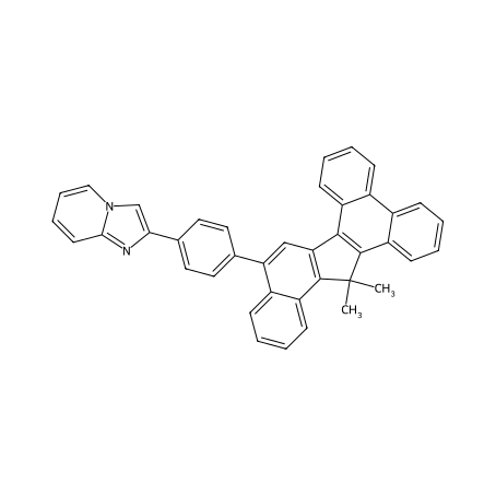 CC1(C)c2c(cc(-c3ccc(-c4cn5ccccc5n4)cc3)c3ccccc23)-c2c1c1ccccc1c1ccccc21